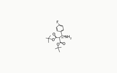 CC(C)(C)OC(=O)C(C(=O)OC(C)(C)C)[C@H](N)c1ccc(F)cc1